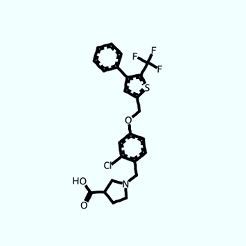 O=C(O)C1CCN(Cc2ccc(OCc3cc(-c4ccccc4)c(C(F)(F)F)s3)cc2Cl)C1